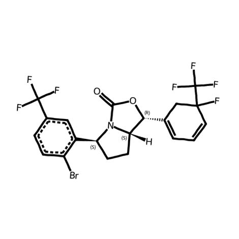 O=C1O[C@H](C2=CC=CC(F)(C(F)(F)F)C2)[C@@H]2CC[C@@H](c3cc(C(F)(F)F)ccc3Br)N12